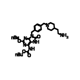 CCCCOC(=O)Nc1nc(OCCCC)nc2c1[nH]c(=O)n2Cc1ccc(CN2CCC(CCN)CC2)cc1